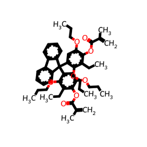 C=C(C)C(=O)Oc1c(OCCC)cc(C2(c3cc(OCCC)c(OC(=O)C(=C)C)c(CC)c3OCCC)c3ccccc3-c3ccccc32)c(OCCC)c1CC